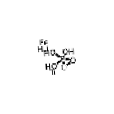 OP1(O)(O)OO1.[Fe].[LiH].[Ti]